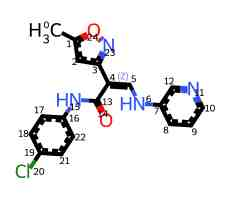 Cc1cc(/C(=C/Nc2cccnc2)C(=O)Nc2ccc(Cl)cc2)no1